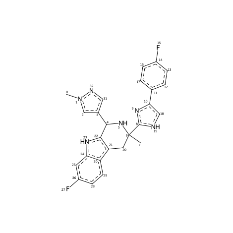 Cn1cc(C2NC(C)(c3nc(-c4ccc(F)cc4)c[nH]3)Cc3c2[nH]c2cc(F)ccc32)cn1